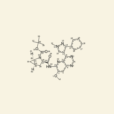 COc1cc2ncnc(-c3cn(C)nc3-c3ccccc3)c2nc1NC(=O)[C@H]1C[C@H]2C[C@H]2N1C(=O)OC(C)(C)C